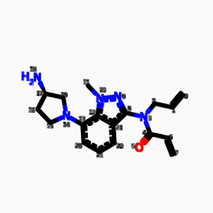 C=CCN(C(=O)C=C)c1nn(C)c2c(N3CC[C@@H](N)C3)cccc12